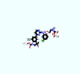 CN(CCOc1ccc(Cl)cc1Nc1nccc(-c2cc(C#N)c3c(c2)C(C)(C)CN3C(=O)OC(C)(C)C)n1)C(=O)OC(C)(C)C